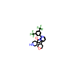 O=C(N(Cc1cc(C(F)(F)F)cc(C(F)(F)F)c1)CC1CCOCC1)C1(Cc2cccnc2)CCNCC1